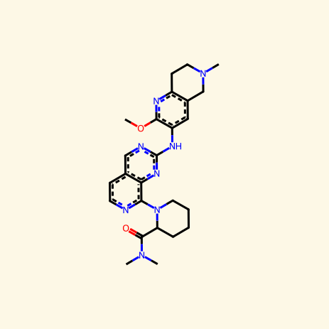 COc1nc2c(cc1Nc1ncc3ccnc(N4CCCCC4C(=O)N(C)C)c3n1)CN(C)CC2